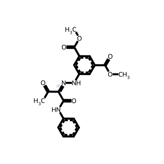 COC(=O)c1cc(N/N=C(/C(C)=O)C(=O)Nc2ccccc2)cc(C(=O)OC)c1